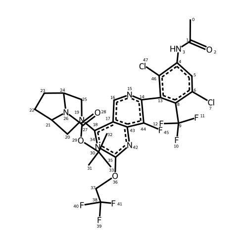 CC(=O)Nc1cc(Cl)c(C(F)(F)F)c(-c2ncc3c(N4CC5CCC(C4)N5C(=O)OC(C)(C)C)nc(OCC(F)(F)F)nc3c2F)c1Cl